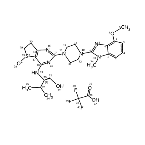 COc1cccc2c1nc(N1CCN(c3nc4c(c(N[C@@H](CO)C(C)C)n3)[S+]([O-])CC4)CC1)n2C.O=C(O)C(F)(F)F